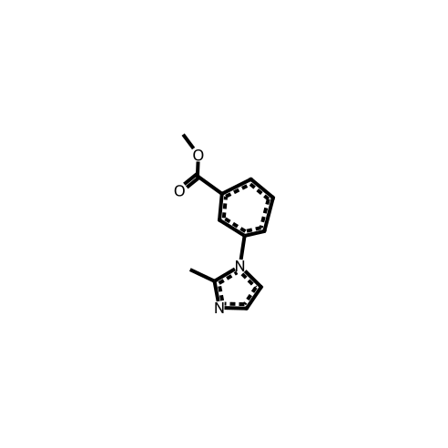 COC(=O)c1cccc(-n2ccnc2C)c1